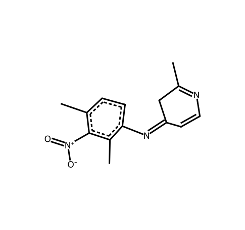 CC1=NC=CC(=Nc2ccc(C)c([N+](=O)[O-])c2C)C1